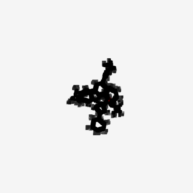 C[Si](C)(C)C#Cc1cc(C#C[Si](C)(C)C)c(S2(c3ccccc3)C=C(c3ccccc3)C=C2c2ccccc2)c(C#C[Si](C)(C)C)c1